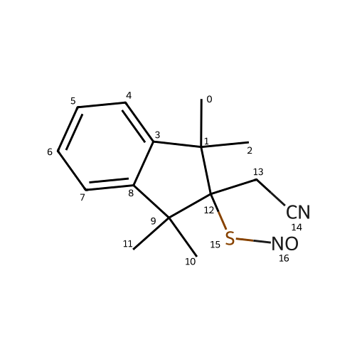 CC1(C)c2ccccc2C(C)(C)C1(CC#N)SN=O